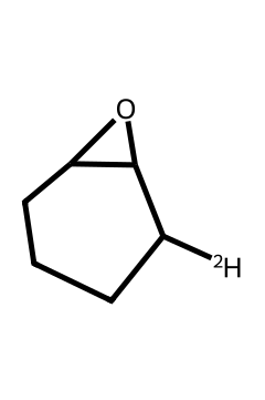 [2H]C1CCCC2OC12